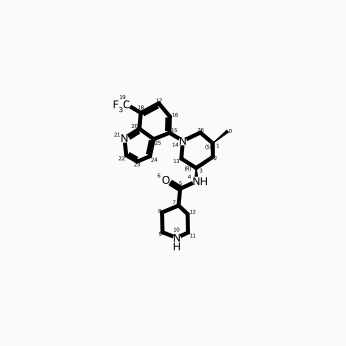 C[C@H]1C[C@@H](NC(=O)C2CCNCC2)CN(c2ccc(C(F)(F)F)c3ncccc23)C1